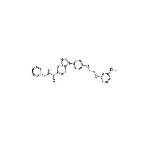 COc1cccc(OCCOc2ccc(-n3cnc4cc(C(=O)NCc5cccnc5)ccc43)cc2)c1